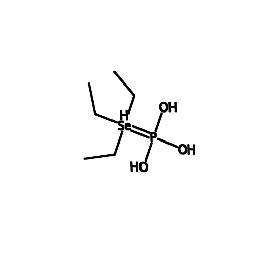 CC[SeH](CC)(CC)=P(O)(O)O